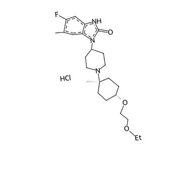 CCOCCO[C@H]1CC[C@](C)(N2CCC(n3c(=O)[nH]c4cc(F)c(C)cc43)CC2)CC1.Cl